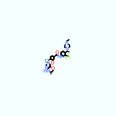 CCN1CCN(C(C)c2ccc(NC(=O)c3ccc(Cl)c(Oc4ncnc5c4OC[C@@H](C)N5)c3)cc2C(F)(F)F)CC1